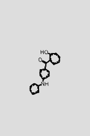 O=C(c1ccc(Nc2ccccc2)cc1)c1ccccc1O